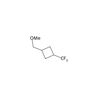 COCC1CC(C(F)(F)F)C1